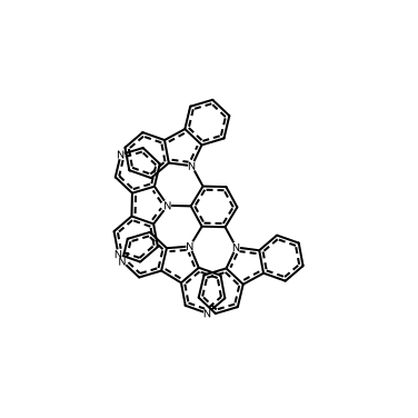 c1ccc2c(c1)c1ccccc1n2-c1ccc(-n2c3ccccc3c3ccccc32)c(-n2c3ccncc3c3cnccc32)c1-n1c2ccncc2c2cnccc21